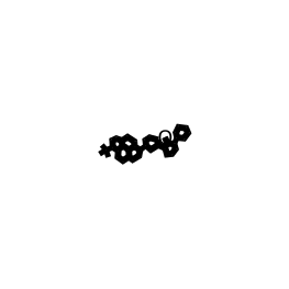 CC(C)(C)c1ccc2ccc3c(-c4ccc5oc6c(-c7ccccc7)cccc6c5c4)ccc4ccc1c2c43